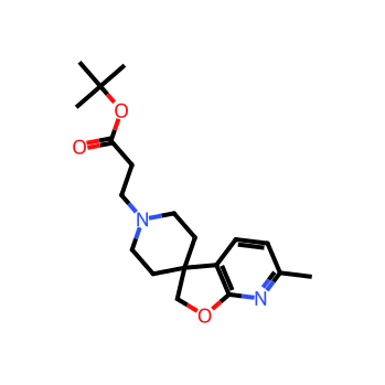 Cc1ccc2c(n1)OCC21CCN(CCC(=O)OC(C)(C)C)CC1